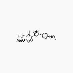 COC(=O)[C@H](CO)NC(=O)c1cc(-c2ccc([N+](=O)[O-])cc2)no1